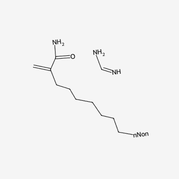 C=C(CCCCCCCCCCCCCCCC)C(N)=O.N=CN